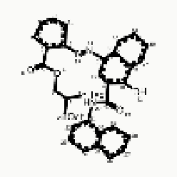 CCCCCCCCC(CCCCCC)COC(=O)c1ccccc1N=Nc1cc(C(=O)Nc2cccc3ccccc23)c(O)c2ccccc12